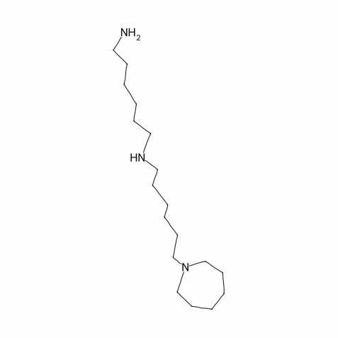 NCCCCCCNCCCCCCN1CCCCCC1